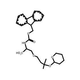 CC(C)(CCOCC(NC(=O)OCC1c2ccccc2-c2ccccc21)C(=O)O)OC1CCCCO1